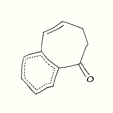 O=C1CCC=Cc2ccccc21